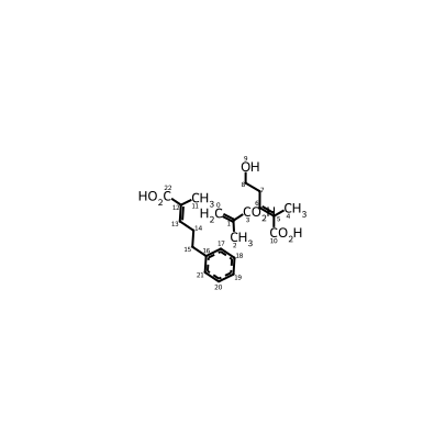 C=C(C)C(=O)O.CC(=CCCO)C(=O)O.CC(=CCCc1ccccc1)C(=O)O